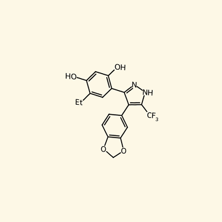 CCc1cc(-c2n[nH]c(C(F)(F)F)c2-c2ccc3c(c2)OCO3)c(O)cc1O